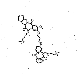 COc1cc2c(cc1OCCCOc1ccc3c(c1)N(COCC[Si](C)(C)C)C(=O)[C@@H]1CCCN1C3=O)N(COCC[Si](C)(C)C)C(=O)C1CC3=C(CCC=C3)CN1C2=O